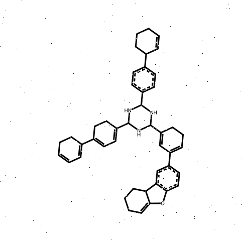 C1=CCCC(C2=CC=C(C3NC(C4=CC(c5ccc6c(c5)C5CCCC=C5O6)=CCC4)NC(c4ccc(C5C=CCCC5)cc4)N3)CC2)=C1